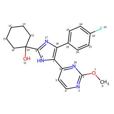 COc1nccc(-c2[nH]c(C3(O)CCCCC3)nc2-c2ccc(F)cc2)n1